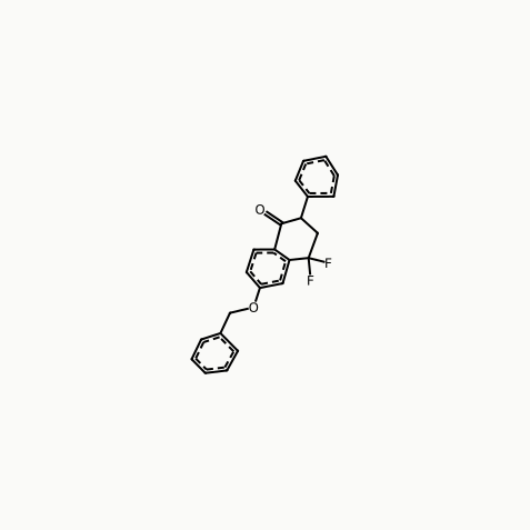 O=C1c2ccc(OCc3ccccc3)cc2C(F)(F)CC1c1ccccc1